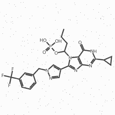 CCCC(OP(=O)(O)O)n1c(-c2cnn(Cc3cccc(C(F)(F)F)c3)c2)nc2nc(C3CC3)[nH]c(=O)c21